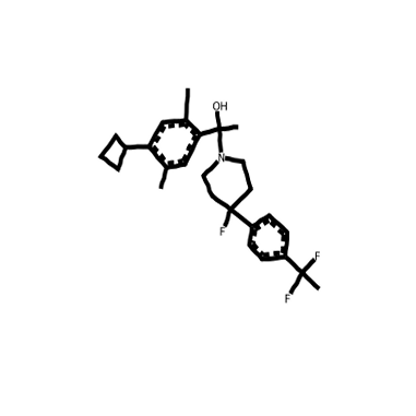 Cc1cc(C(C)(O)N2CCC(F)(c3ccc(C(C)(F)F)cc3)CC2)c(C)cc1C1CCC1